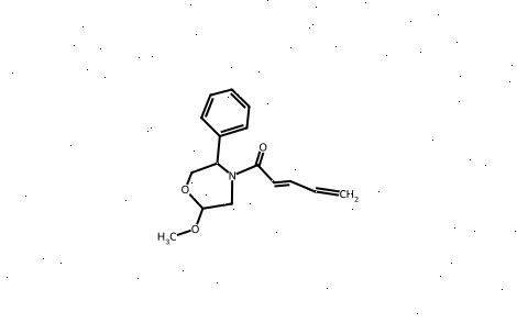 C=CC=CC(=O)N1CC(OC)OCC1c1ccccc1